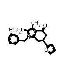 CCOC(=O)c1c(C)c2c(n1Cc1ccccc1)CC(c1ccco1)CC2=O